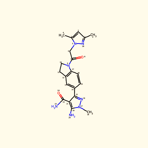 Cc1cc(C)n(CC(=O)N2CCc3cc(-c4nn(C)c(N)c4C(N)=O)ccc32)n1